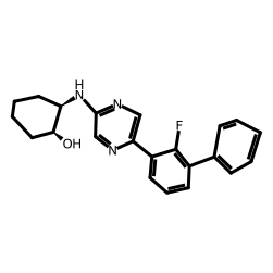 O[C@H]1CCCC[C@H]1Nc1cnc(-c2cccc(-c3ccccc3)c2F)cn1